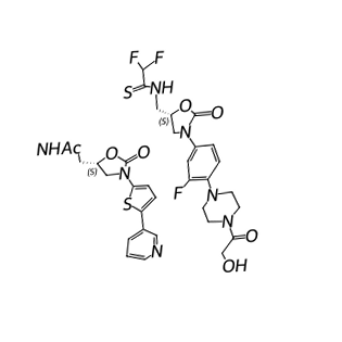 CC(=O)NC[C@H]1CN(c2ccc(-c3cccnc3)s2)C(=O)O1.O=C(CO)N1CCN(c2ccc(N3C[C@H](CNC(=S)C(F)F)OC3=O)cc2F)CC1